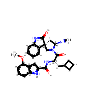 C#[N+][C@@H]1C[C@@]2(CN1C(=O)[C@H](CC1CCC1)NC(=O)c1cc3c(OC)cccc3[nH]1)C(=O)Nc1ccccc12